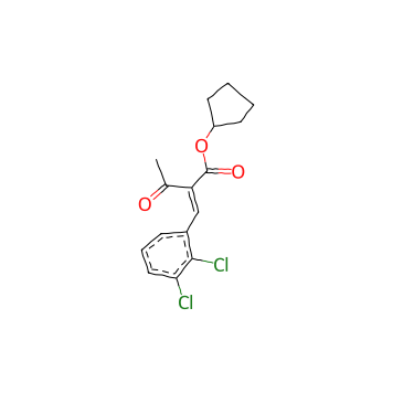 CC(=O)C(=Cc1cccc(Cl)c1Cl)C(=O)OC1CCCC1